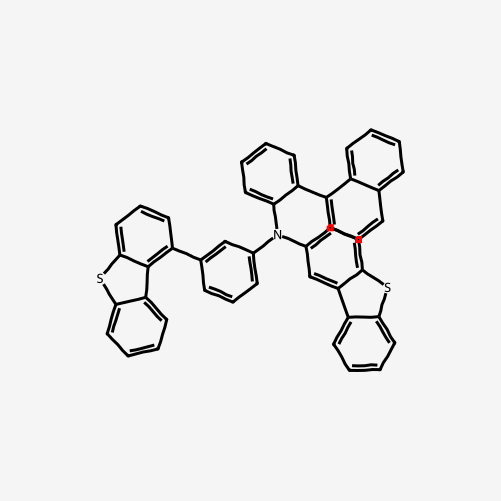 c1cc(-c2cccc3sc4ccccc4c23)cc(N(c2ccc3sc4ccccc4c3c2)c2ccccc2-c2cccc3ccccc23)c1